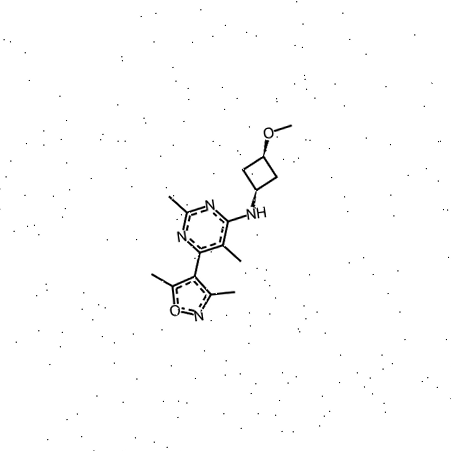 CO[C@H]1C[C@@H](Nc2nc(C)nc(-c3c(C)noc3C)c2C)C1